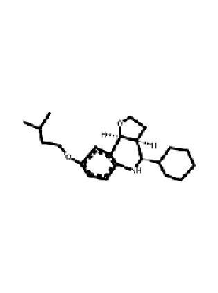 CC(C)CCOc1ccc2c(c1)[C@H]1OCC[C@H]1[C@@H](C1CCCCC1)N2